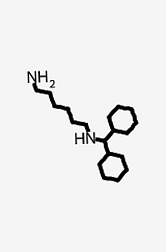 NCCCCCCNC(C1CCCCC1)C1CCCCC1